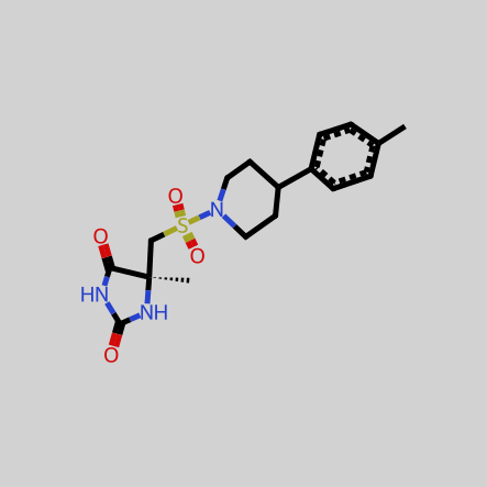 Cc1ccc(C2CCN(S(=O)(=O)C[C@@]3(C)NC(=O)NC3=O)CC2)cc1